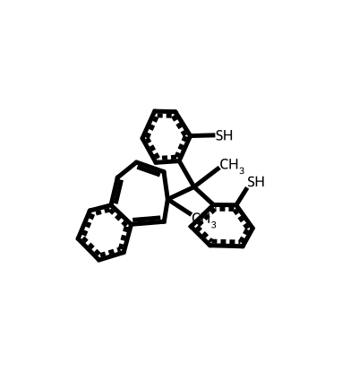 CC1(C(C)(c2ccccc2S)c2ccccc2S)C=CC=c2ccccc2=C1